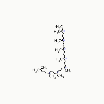 [CH2]/C=C(\C)CC/C=C(\C)CC/C=C(\C)CC/C=C(\C)CC/C=C(/C)CC/C=C(\C)CC/C=C(\C)CCC=C(C)C